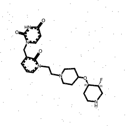 O=c1ccn(Cc2cccn(CCN3CCC(O[C@@H]4CCNC[C@H]4F)CC3)c2=O)c(=O)[nH]1